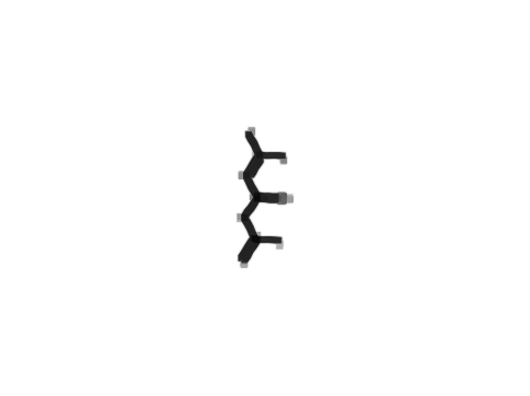 C=C(C)CC(=O)C=C(C)C